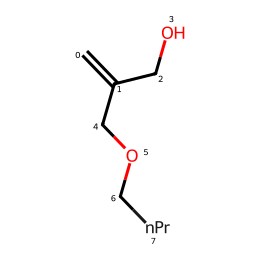 C=C(CO)COCCCC